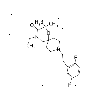 BC1(C)OC2(CCN(CCc3cc(F)ccc3F)CC2)CN(CC)C1=O